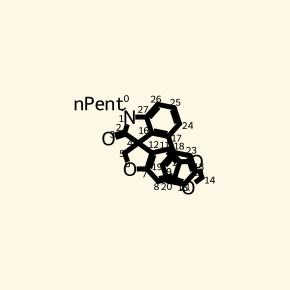 CCCCCN1C(=O)C2(COc3cc4c(cc32)OCO4)c2c(-c3ccccc3)cccc21